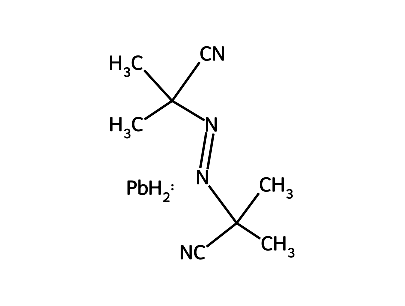 CC(C)(C#N)N=NC(C)(C)C#N.[PbH2]